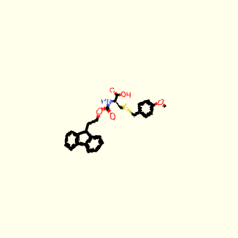 COc1ccc(CSC[C@@H](NC(=O)OCCC2c3ccccc3-c3ccccc32)C(=O)O)cc1